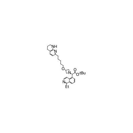 CCc1nccc2c(C(C(=O)OC(C)(C)C)N3CC(OCCCCCc4ccc5c(n4)NCCC5)C3)cccc12